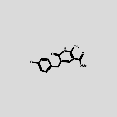 COC(=O)c1cc(Cc2ccc(F)cc2)c(=O)[nH]c1C